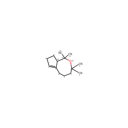 N#CC1(C#N)CCCC2=CCCC2C(C#N)(C#N)O1